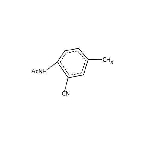 CC(=O)Nc1ccc(C)cc1C#N